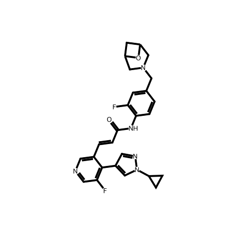 O=C(/C=C/c1cncc(F)c1-c1cnn(C2CC2)c1)Nc1ccc(CN2CC3CC(C2)O3)cc1F